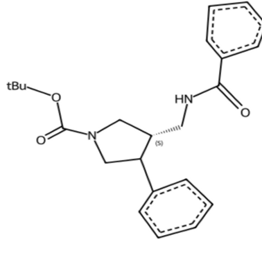 CC(C)(C)OC(=O)N1CC(c2ccccc2)[C@@H](CNC(=O)c2ccccc2)C1